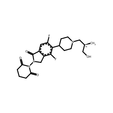 C[C@@H](CO)CN1CCC(c2c(F)cc3c(c2F)CN(N2C(=O)CCCC2=O)C3=O)CC1